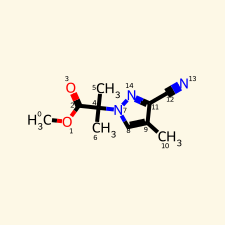 COC(=O)C(C)(C)n1cc(C)c(C#N)n1